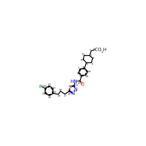 O=C(O)CC1CCC(c2ccc(C(=O)Nc3nnc(CCCc4ccc(F)cc4)s3)cc2)CC1